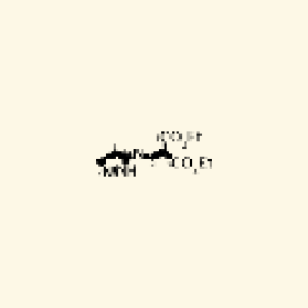 CCOC(=O)C(=CNc1ccn[nH]1)C(=O)OCC